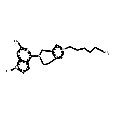 Cn1ncc2c(N3CCc4nn(CCCCCN)cc4C3)nc(N)nc21